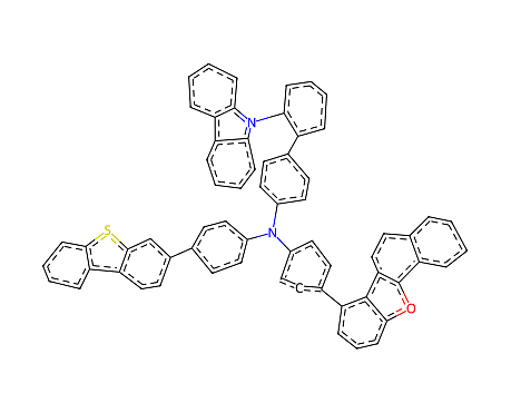 c1ccc(-n2c3ccccc3c3ccccc32)c(-c2ccc(N(c3ccc(-c4ccc5c(c4)sc4ccccc45)cc3)c3ccc(-c4cccc5oc6c7ccccc7ccc6c45)cc3)cc2)c1